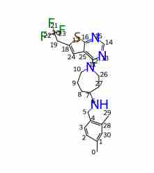 Cc1ccc(CNC2CCCN(c3ncnc4sc(CC(F)(F)F)cc34)CC2)c(C)c1